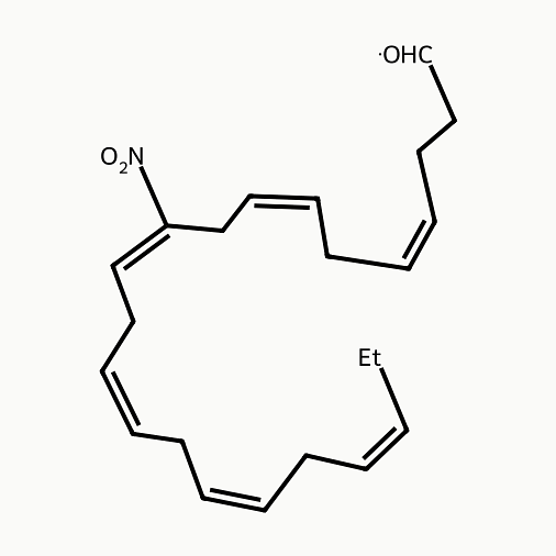 CC/C=C\C/C=C\C/C=C\C/C=C(\C/C=C\C/C=C\CC[C]=O)[N+](=O)[O-]